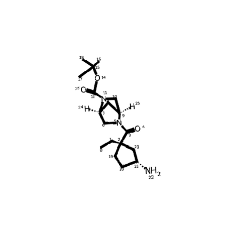 CC[C@]1(C(=O)N2C[C@@H]3C[C@H]2CN3C(=O)OC(C)(C)C)CC[C@@H](N)C1